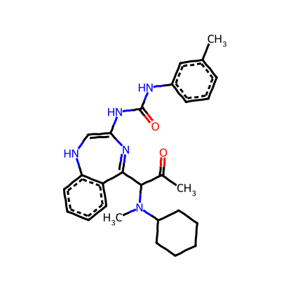 CC(=O)C(C1=NC(NC(=O)Nc2cccc(C)c2)=CNc2ccccc21)N(C)C1CCCCC1